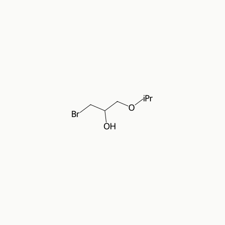 CC(C)OCC(O)CBr